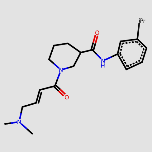 CC(C)c1cccc(NC(=O)C2CCCN(C(=O)/C=C/CN(C)C)C2)c1